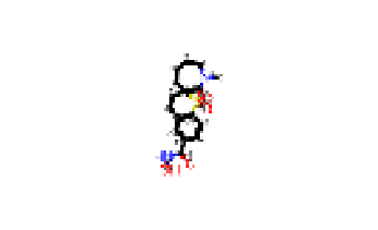 CN1CCCCC2(CCc3cc(C(=O)NO)ccc3S2(=O)=O)C1=O